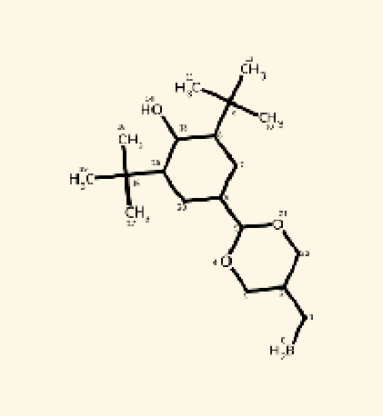 BCC1COC(C2CC(C(C)(C)C)C(O)C(C(C)(C)C)C2)OC1